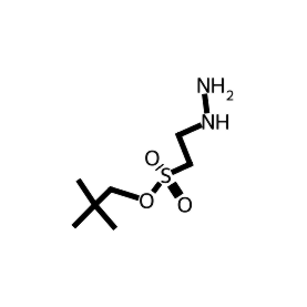 CC(C)(C)COS(=O)(=O)CCNN